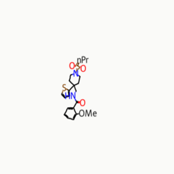 CCCS(=O)(=O)N1CCC(CNC(=O)c2ccccc2OC)(c2cccs2)CC1